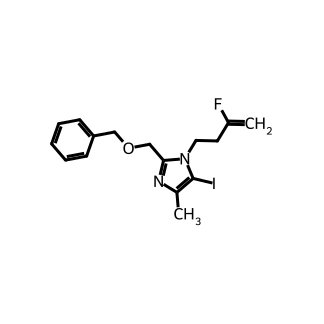 C=C(F)CCn1c(COCc2ccccc2)nc(C)c1I